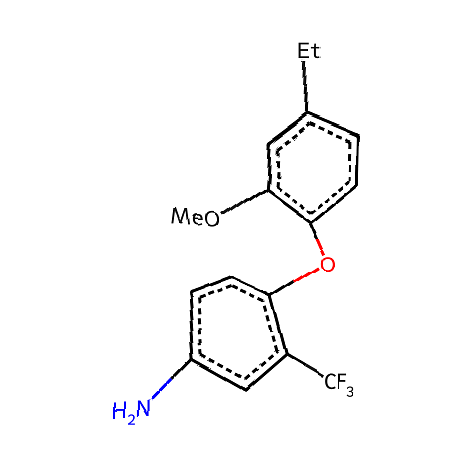 CCc1ccc(Oc2ccc(N)cc2C(F)(F)F)c(OC)c1